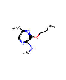 CCCCNc1ncc(C(=O)O)nc1OCCOC